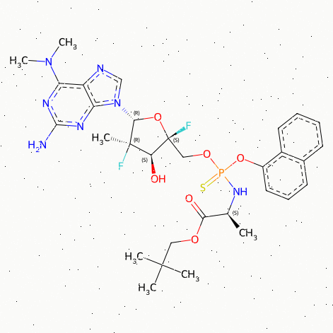 C[C@H](NP(=S)(OC[C@@]1(F)O[C@@H](n2cnc3c(N(C)C)nc(N)nc32)[C@](C)(F)[C@@H]1O)Oc1cccc2ccccc12)C(=O)OCC(C)(C)C